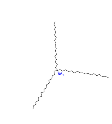 CCCCCCCCCCCCCCCCCCC(N)(CCCCCCCCCCCCCCCCCC)CCCCCCCCCCCCCCCCCC